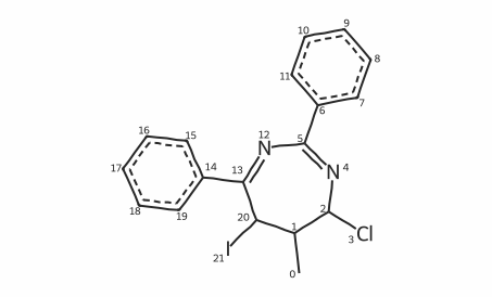 CC1C(Cl)N=C(c2ccccc2)N=C(c2ccccc2)C1I